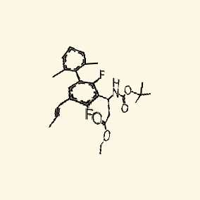 CC#Cc1cc(-c2c(C)cccc2C)c(F)c(C(CC(=O)OCC)NC(=O)OC(C)(C)C)c1F